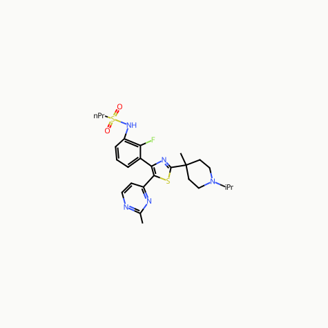 CCCS(=O)(=O)Nc1cccc(-c2nc(C3(C)CCN(C(C)C)CC3)sc2-c2ccnc(C)n2)c1F